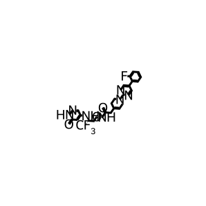 C[C@@H](CONC(=O)CC1=CCN(c2ncc(-c3ccccc3F)cn2)CC1)Nc1cn[nH]c(=O)c1C(F)(F)F